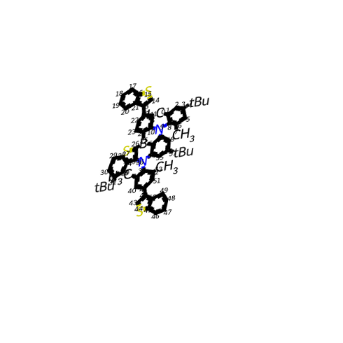 Cc1cc(C(C)(C)C)cc(C)c1N1c2cc(-c3csc4ccccc34)ccc2B2c3sc4ccc(C(C)(C)C)cc4c3N(c3c(C)cc(-c4csc5ccccc45)cc3C)c3cc(C(C)(C)C)cc1c32